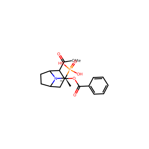 COC(=O)C1C(OC(=O)c2ccccc2)CC2CCC1N2[C@H](C)P(=O)(O)O